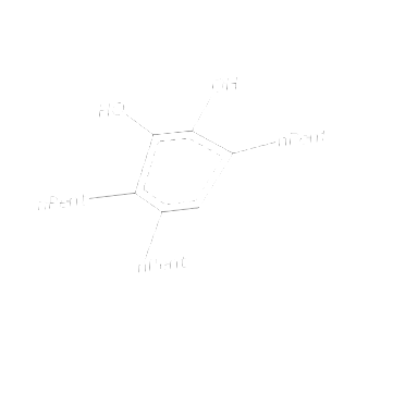 CCCCCc1cc(CCCCC)c(CCCCC)c(O)c1O